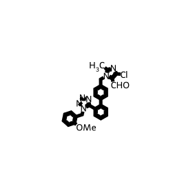 COc1ccccc1Cn1nnnc1-c1ccccc1-c1ccc(Cn2c(C)nc(Cl)c2C=O)cc1